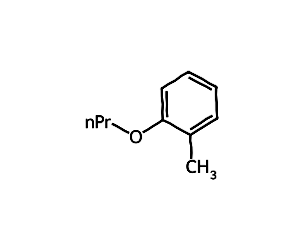 C[CH]COc1ccccc1C